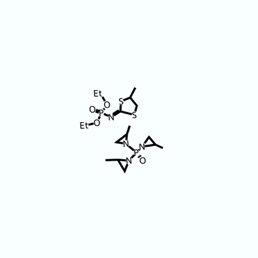 CC1CN1P(=O)(N1CC1C)N1CC1C.CCOP(=O)(N=C1SCC(C)S1)OCC